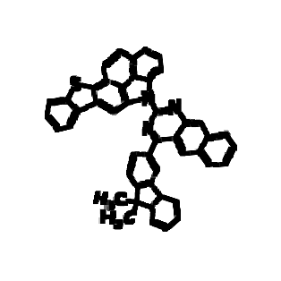 CC1(C)c2ccc(-c3nc(-n4c5cccc6ccc7c8sc9ccccc9c8cc4c7c65)nc4cc5ccccc5cc34)cc2C2C=CC=CC21